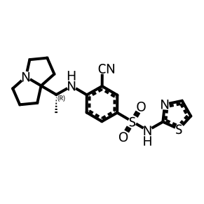 C[C@@H](Nc1ccc(S(=O)(=O)Nc2nccs2)cc1C#N)C12CCCN1CCC2